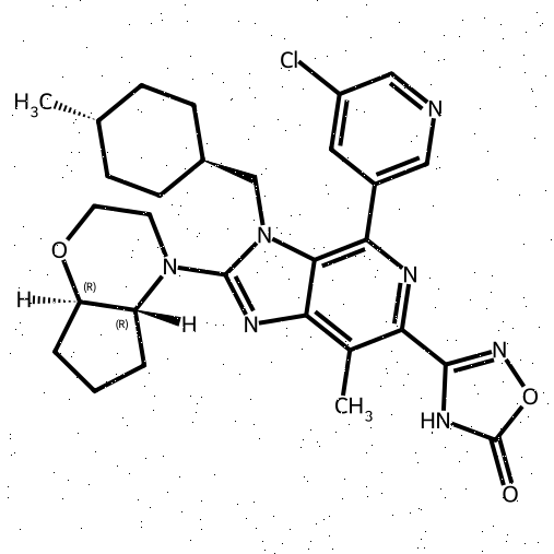 Cc1c(-c2noc(=O)[nH]2)nc(-c2cncc(Cl)c2)c2c1nc(N1CCO[C@@H]3CCC[C@H]31)n2C[C@H]1CC[C@H](C)CC1